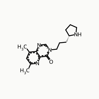 Cc1cc(C)c2ncn(CCC[C@@H]3CCCN3)c(=O)c2n1